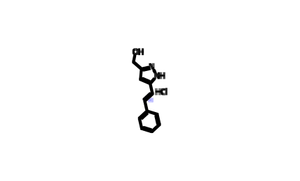 Cl.OCc1cc(/C=C/c2ccccc2)[nH]n1